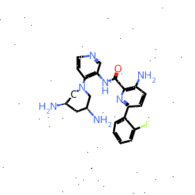 Nc1ccc(-c2ccccc2F)nc1C(=O)Nc1cnccc1N1C[C@H](N)C[C@H](N)C1